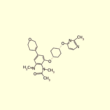 C=Nc1cc(C2=CCOCC2)cc(O[C@H]2CC[C@@H](Oc3ccnc(C)n3)CC2)c1N(C)C(C)=O